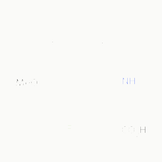 COc1cccc2[nH]c(C(=O)O)c(F)c12